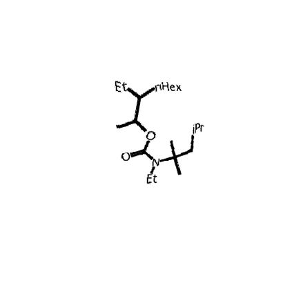 CCCCCCC(CC)C(C)OC(=O)N(CC)C(C)(C)CC(C)C